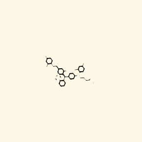 Cc1ccc(C/C=c2\ccc3c(c2)Oc2cc(N(CCCC(=O)O)c4ccc(C)cc4C)ccc2C=3c2ccccc2S(=O)(=O)O)c(C)c1